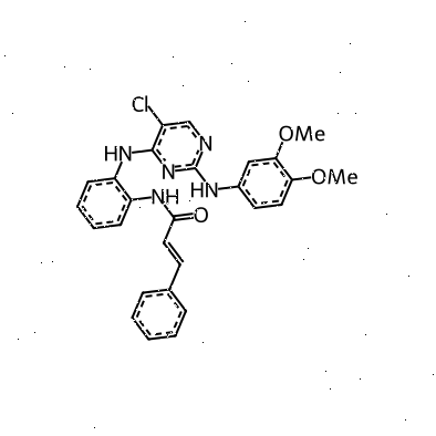 COc1ccc(Nc2ncc(Cl)c(Nc3ccccc3NC(=O)/C=C/c3ccccc3)n2)cc1OC